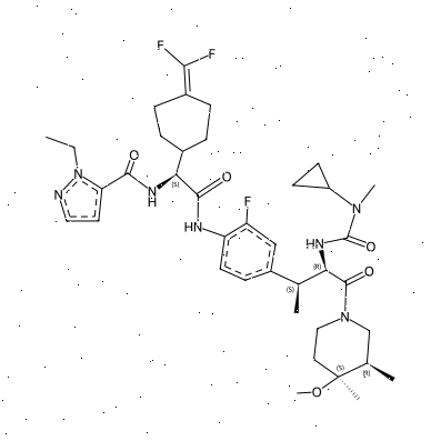 CCn1nccc1C(=O)N[C@H](C(=O)Nc1ccc([C@H](C)[C@@H](NC(=O)N(C)C2CC2)C(=O)N2CC[C@](C)(OC)[C@H](C)C2)cc1F)C1CCC(=C(F)F)CC1